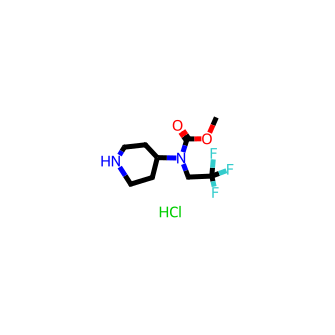 COC(=O)N(CC(F)(F)F)C1CCNCC1.Cl